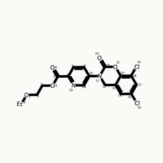 CCOCCOC(=O)c1ccc(N2Cc3cc(Cl)cc(Cl)c3OC2=O)cn1